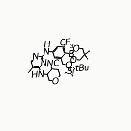 Cc1cnc(Nc2cc(CO[Si](C)(C)C(C)(C)C)c(B3OCC(C)(C)CO3)c(C(F)(F)F)c2)nc1NC1COCCC1C#N